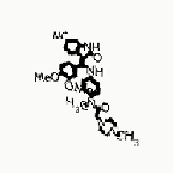 COc1ccc(/C(Nc2ccc(N(C)C(=O)CN3CCN(C)CC3)cc2)=C2/C(=O)Nc3cc(C#N)ccc32)cc1OC